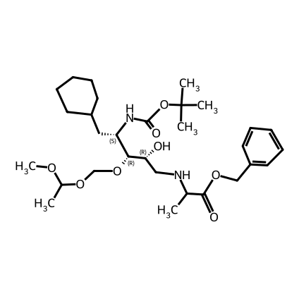 COC(C)OCO[C@@H]([C@H](O)CNC(C)C(=O)OCc1ccccc1)[C@H](CC1CCCCC1)NC(=O)OC(C)(C)C